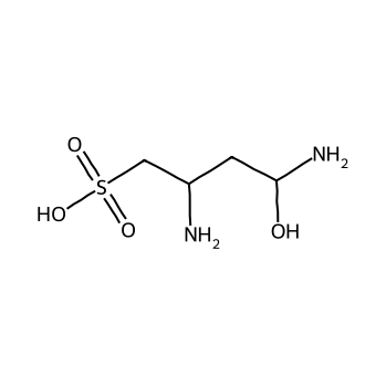 NC(O)CC(N)CS(=O)(=O)O